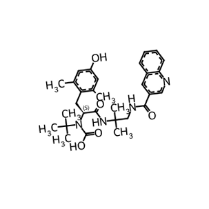 Cc1cc(O)cc(C)c1C[C@@H](C(=O)NC(C)(C)CNC(=O)c1cnc2ccccc2c1)N(C(=O)O)C(C)(C)C